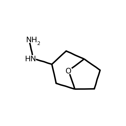 NNC1CC2CCC(C1)O2